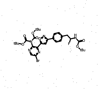 CC(C)(C)OC(=O)NC(F)Cc1ccc(-c2cc(-c3nc(Br)cnc3N(C(=O)OC(C)(C)C)C(=O)OC(C)(C)C)on2)cc1